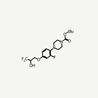 CC(C)(C)OC(=O)N1CCN(c2ccc(OCC(O)C(F)(F)F)cc2F)CC1